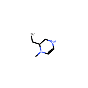 CC(C)CC1CNC=CN1C